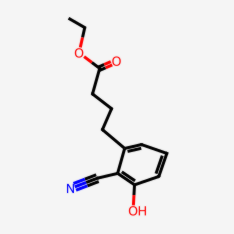 CCOC(=O)CCCc1cccc(O)c1C#N